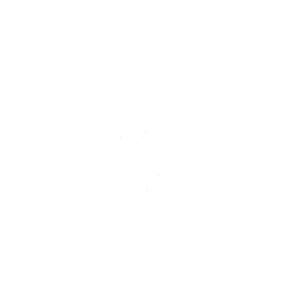 CC1CSCN1CCS(=O)(=O)O